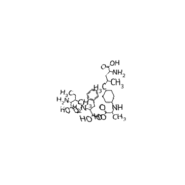 CC(C)CC(N)C(=O)O.CC(NC1CCCCC1)C(=O)O.CCC(C)C(N)C(=O)O.NC(Cc1ccccc1)C(=O)O